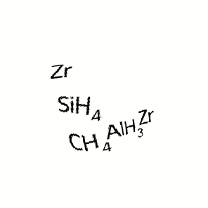 C.[AlH3].[SiH4].[Zr].[Zr]